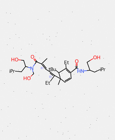 CCC1=C(C(=O)NC(CO)CC(C)C)C=CC(C)(/C(=C/C=C(\C)C(=O)N(CO)C(CO)CC(C)C)CC)C1C(C)(C)C